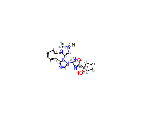 N#CN1C=C2N(c3ccccc3C3N=CN(c4noc(C5(O)CCCC5)n4)N23)C1F